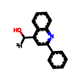 [2H]C(O)c1cc(-c2ccccc2)nc2ccccc12